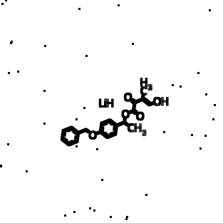 CC(=CO)C(=O)C(=O)OC(C)c1ccc(OCc2ccccc2)cc1.[LiH]